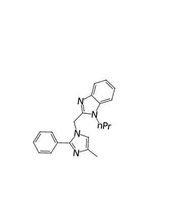 CCCn1c(Cn2cc(C)nc2-c2ccccc2)nc2ccccc21